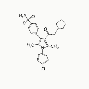 Cc1c(C(=O)CC2CCCC2)c(-c2ccc(S(N)(=O)=O)cc2)c(C)n1-c1ccc(Cl)cc1